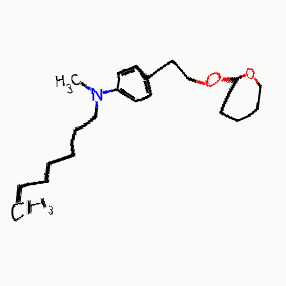 CCCCCCCN(C)c1ccc(CCOC2CCCCO2)cc1